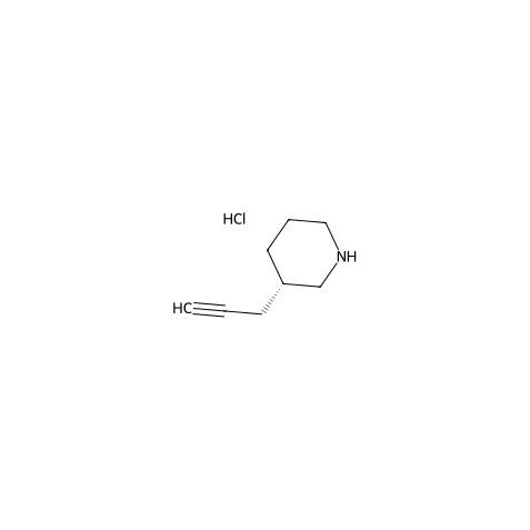 C#CC[C@@H]1CCCNC1.Cl